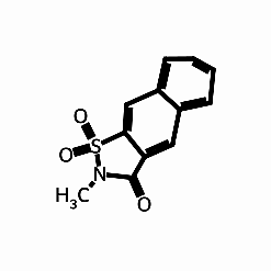 CN1C(=O)c2cc3ccccc3cc2S1(=O)=O